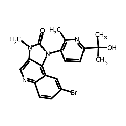 Cc1nc(C(C)(C)O)ccc1-n1c(=O)n(C)c2cnc3ccc(Br)cc3c21